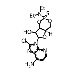 CCN(CC)P1(=S)OC[C@H]2O[C@@H](n3c(Cl)nc4c(N)ccnc43)C(O)C2O1